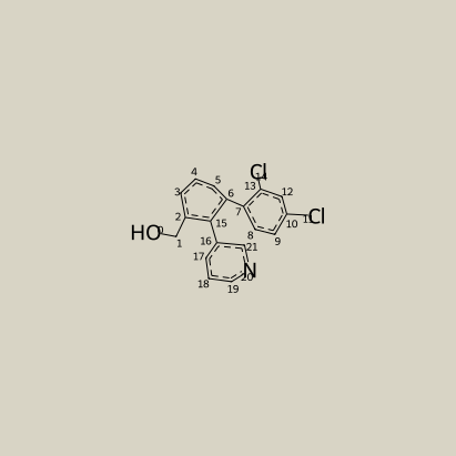 OCc1cccc(-c2ccc(Cl)cc2Cl)c1-c1cccnc1